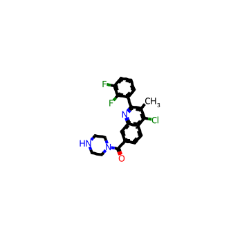 Cc1c(-c2cccc(F)c2F)nc2cc(C(=O)N3CCNCC3)ccc2c1Cl